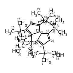 CC(C)(C)C1=[C]([Ti]([CH3])([CH3])(=[SiH2])[C]2=C(C(C)(C)C)C=C([Si](C)(C)C)C2)CC([Si](C)(C)C)=C1.Cl.Cl